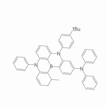 CC1CC=CC2=C1B1c3ccc(N(c4ccccc4)c4ccccc4)cc3N(c3ccc(C(C)(C)C)cc3)c3cccc(c31)N2c1ccccc1